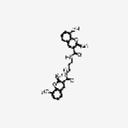 N=c1oc2c(O)cccc2cc1C(=O)NCCCNC(=O)c1cc2cccc(O)c2oc1=N